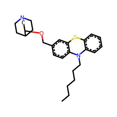 CCCCCCN1c2ccccc2Sc2cc(COC3CN4CCC3CC4)ccc21